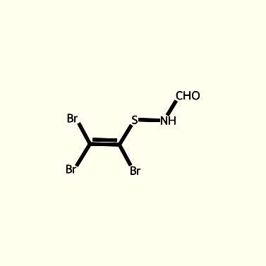 O=CNSC(Br)=C(Br)Br